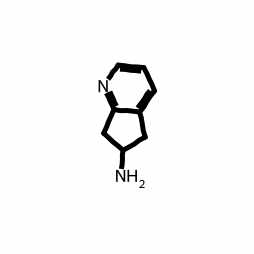 NC1Cc2cccnc2C1